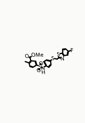 COC(=O)c1cc(S(=O)(=O)Nc2ccc(SCc3nc4cc(F)ccc4s3)cc2)ccc1C